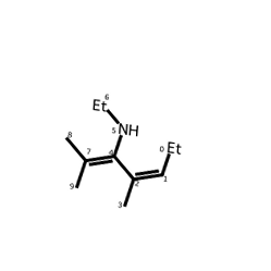 CC/C=C(/C)C(NCC)=C(C)C